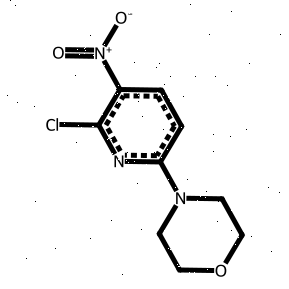 O=[N+]([O-])c1ccc(N2CCOCC2)nc1Cl